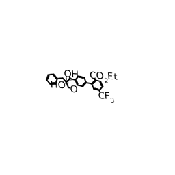 CCOC(=O)c1ccc(C(F)(F)F)cc1-c1ccc2c(c1)OC[C@@](O)(Cc1ccccc1)[C@@H]2O